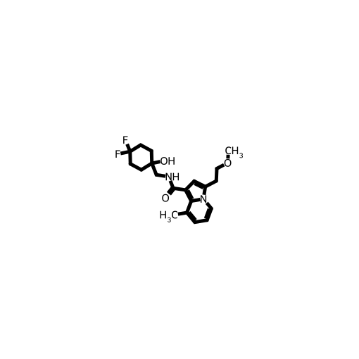 COCCc1cc(C(=O)NCC2(O)CCC(F)(F)CC2)c2c(C)cccn12